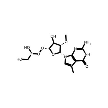 CO[C@H]1C(O)[C@@H](OOP(O)CO)O[C@H]1n1cc(C)c2c(=O)[nH]c(N)nc21